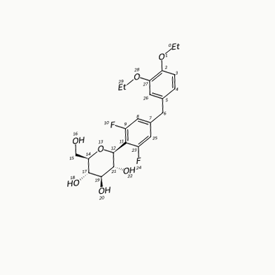 CCOc1ccc(Cc2cc(F)c([C@@H]3O[C@H](CO)[C@@H](O)[C@H](O)[C@H]3O)c(F)c2)cc1OCC